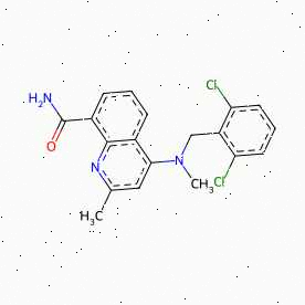 Cc1cc(N(C)Cc2c(Cl)cccc2Cl)c2cccc(C(N)=O)c2n1